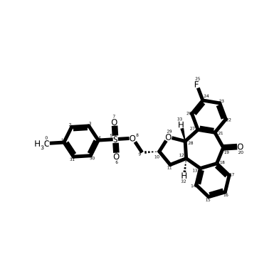 Cc1ccc(S(=O)(=O)OC[C@H]2C[C@@H]3c4ccccc4C(=O)c4ccc(F)cc4[C@H]3O2)cc1